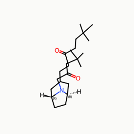 CC(C)(C)CCC(=O)CCC1C[C@H]2CC[C@H](C1)N2CC(=O)CC(C)(C)C